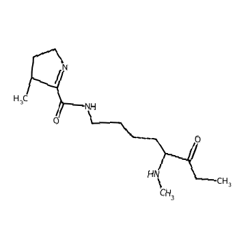 CCC(=O)C(CCCCNC(=O)C1=NCCC1C)NC